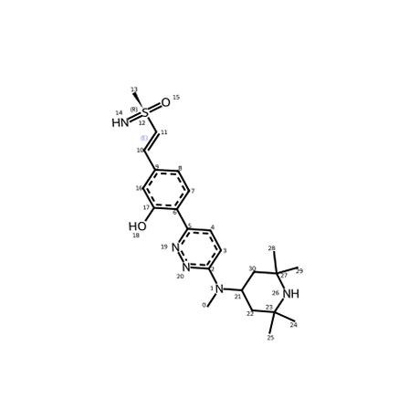 CN(c1ccc(-c2ccc(/C=C/[S@](C)(=N)=O)cc2O)nn1)C1CC(C)(C)NC(C)(C)C1